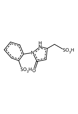 O=c1cc(CS(=O)(=O)O)[nH]n1-c1ccccc1S(=O)(=O)O